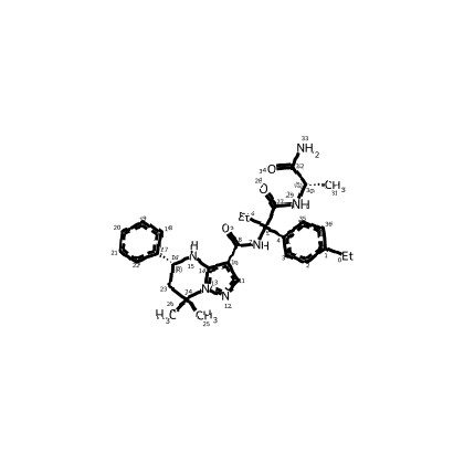 CCc1ccc(C(CC)(NC(=O)c2cnn3c2N[C@@H](c2ccccc2)CC3(C)C)C(=O)N[C@@H](C)C(N)=O)cc1